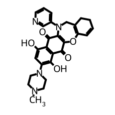 CN1CCN(c2cc(O)c3c(c2O)C(=O)C2=C(C3=O)N(c3cccnc3)CC3=C(C=CCC3)O2)CC1